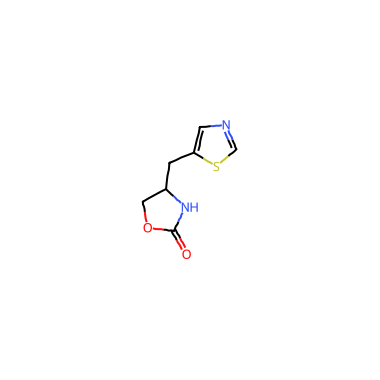 O=C1NC(Cc2cncs2)CO1